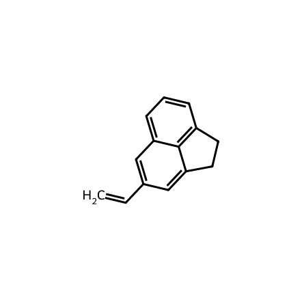 C=Cc1cc2c3c(cccc3c1)CC2